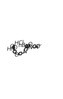 CCCCN(C(=O)Nc1cc[n+]([O-])cc1)C1CCN(Cc2ccc(Oc3ccc(NS(C)(=O)=O)cc3)cc2)CC1.Cl